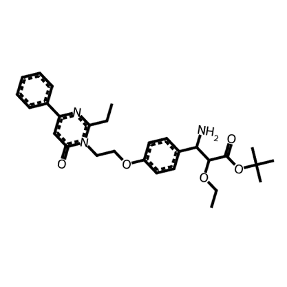 CCOC(C(=O)OC(C)(C)C)C(N)c1ccc(OCCn2c(CC)nc(-c3ccccc3)cc2=O)cc1